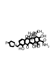 C[C@H]1c2ccc(CN3CCC(F)CC3)c(O)c2C(=O)C2=C(O)[C@]3(O)C(=O)C(C(N)=O)=C(O)[C@@H](N(C)C)[C@@H]3[C@@H](O)[C@@H]21